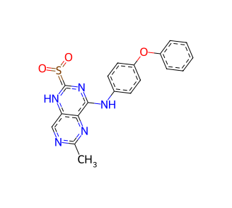 Cc1ncc2[nH]c(=S(=O)=O)nc(Nc3ccc(Oc4ccccc4)cc3)c2n1